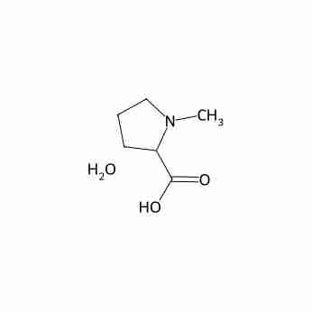 CN1CCCC1C(=O)O.O